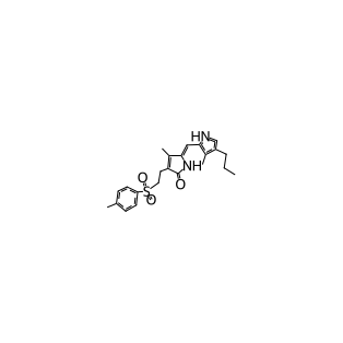 CCCc1c[nH]c(/C=C2\NC(=O)C(CCS(=O)(=O)c3ccc(C)cc3)=C2C)c1C